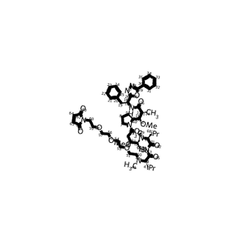 CC[C@H](C)[C@@H]([C@@H](CC(=O)N1CCC[C@H]1[C@H](OC)[C@@H](C)C(=O)N[C@@H](Cc1ccccc1)c1nnc(-c2ccccc2)o1)OC)N(C)[C@H](C(=O)NC(=O)[C@H](C(C)C)N(C)CCOCCOCCOCCN1C(=O)C=CC1=O)C(C)C